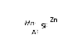 [Al].[Mn].[Si].[Zn]